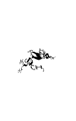 C=CCN1C(C)CN(c2ccc(NS(=O)(=O)c3ccc(C(C)C)cc3)cn2)CC1C.Cl